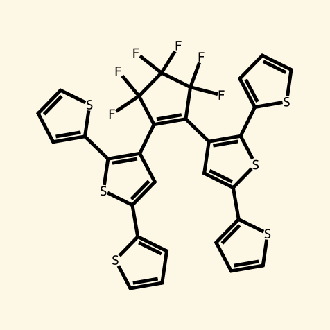 FC1(F)C(c2cc(-c3cccs3)sc2-c2cccs2)=C(c2cc(-c3cccs3)sc2-c2cccs2)C(F)(F)C1(F)F